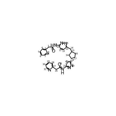 O=C(Cc1ccccn1)Nc1ccc(CC2CC[C@H](c3nnc(NC(=O)Cc4ccccn4)s3)C2)nn1